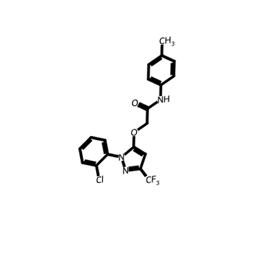 Cc1ccc(NC(=O)COc2cc(C(F)(F)F)nn2-c2ccccc2Cl)cc1